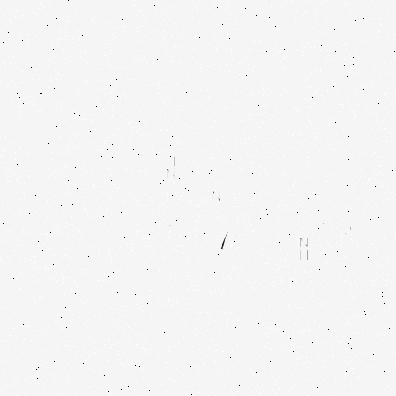 C[C@H](c1c[nH]c(=O)c2ccccc12)N(C)C(=O)Nc1ccc(Cl)cc1